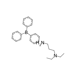 CCN(CC)CCCN.c1ccc(B(c2ccccc2)c2ccccc2)cc1